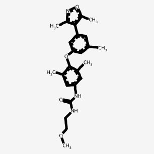 COCCNC(=O)Nc1cc(C)c(Oc2cc(C)cc(-c3c(C)noc3C)c2)c(C)c1